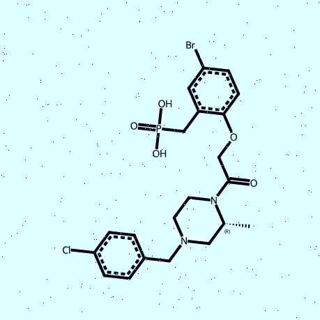 C[C@@H]1CN(Cc2ccc(Cl)cc2)CCN1C(=O)COc1ccc(Br)cc1CP(=O)(O)O